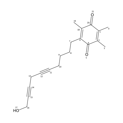 CC1=C(C)C(=O)C(CCCCC#CCC#CCO)=C(C)C1=O